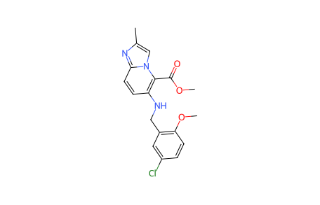 COC(=O)c1c(NCc2cc(Cl)ccc2OC)ccc2nc(C)cn12